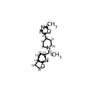 Cc1nnc(C2CCN([C@H](C)c3ccc4c(n3)OCC4)CC2)o1